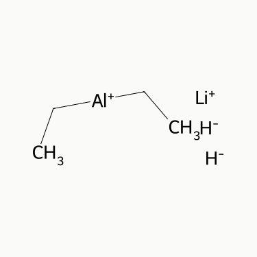 C[CH2][Al+][CH2]C.[H-].[H-].[Li+]